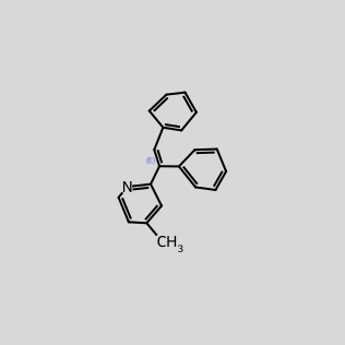 Cc1ccnc(/C(=C/c2ccccc2)c2ccccc2)c1